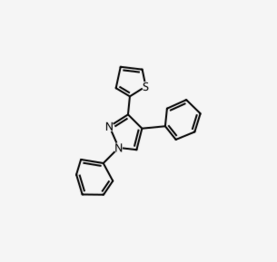 c1ccc(-c2cn(-c3ccccc3)nc2-c2cccs2)cc1